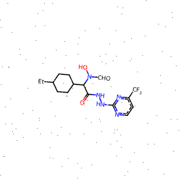 CCC1CCC(C(C(=O)NNc2nccc(C(F)(F)F)n2)N(O)C=O)CC1